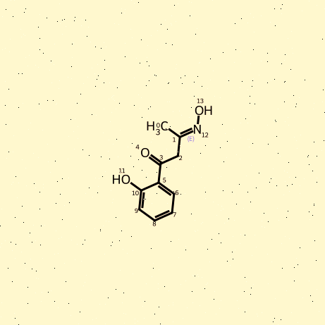 C/C(CC(=O)c1ccccc1O)=N\O